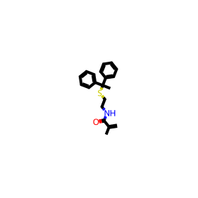 C=C(C)C(=O)NCCSC(C)(c1ccccc1)c1ccccc1